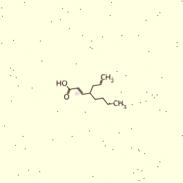 C=CCC(/C=C/C(=O)O)CCCC